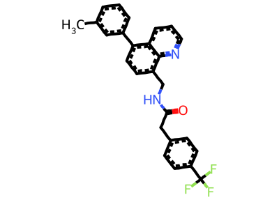 Cc1cccc(-c2ccc(CNC(=O)Cc3ccc(C(F)(F)F)cc3)c3ncccc23)c1